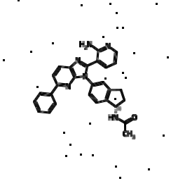 CC(=O)N[C@H]1CCc2cc(-n3c(-c4cccnc4N)nc4ccc(-c5ccccc5)nc43)ccc21